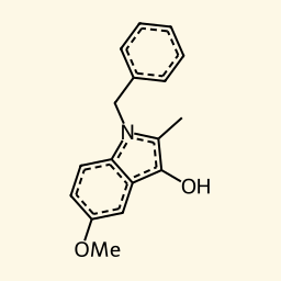 COc1ccc2c(c1)c(O)c(C)n2Cc1ccccc1